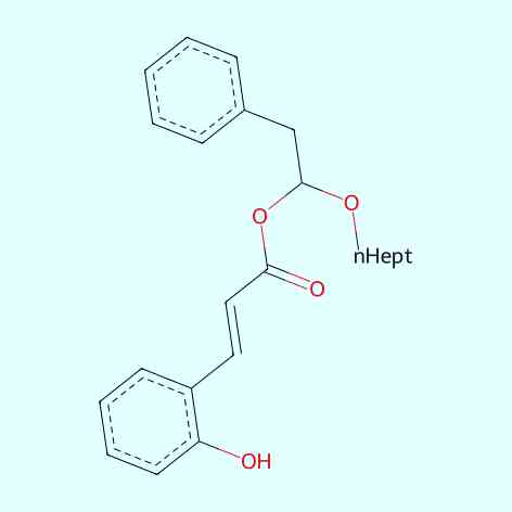 CCCCCCCOC(Cc1ccccc1)OC(=O)C=Cc1ccccc1O